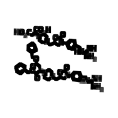 N=C(N)NCc1ccc(N2CC(CN3CCN([C@H](CC(=O)O)C(=O)O)CC3)OC2=O)cc1.N=C(N)NCc1ccc(N2CC(CN3CCN([C@H](CC(=O)OCc4ccccc4)C(=O)OCc4ccccc4)CC3)OC2=O)cc1